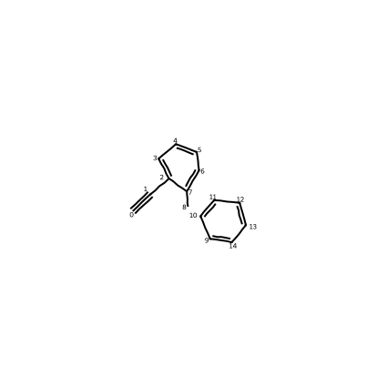 C#Cc1ccccc1C.c1ccccc1